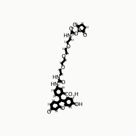 O=C(NCCOCCOCCOCCNC(=O)ON1C(=O)CCC1=O)Nc1ccc(-c2c3ccc(=O)cc-3oc3cc(O)ccc23)c(C(=O)O)c1